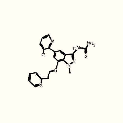 Cn1nc(NC(N)=S)c2cc(-c3ncccc3Cl)cc(OCCc3ccccn3)c21